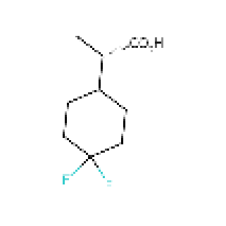 C[C@H](C(=O)O)C1CCC(F)(F)CC1